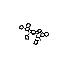 c1ccc(-c2cc3c(c4ccccc24)c2cc4c5ccccc5n(-c5nc6ccccc6nc5-c5ccc6ccccc6c5)c4cc2n3-c2ccccc2)cc1